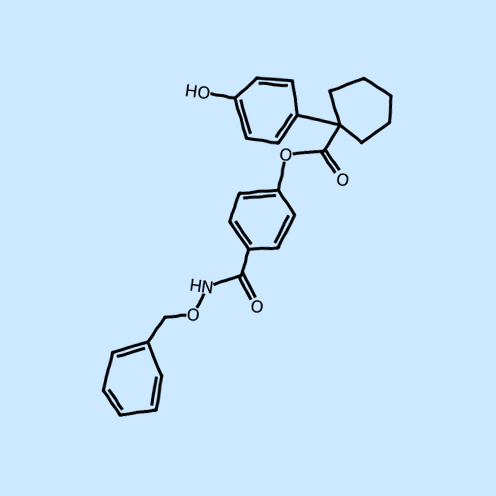 O=C(NOCc1ccccc1)c1ccc(OC(=O)C2(c3ccc(O)cc3)CCCCC2)cc1